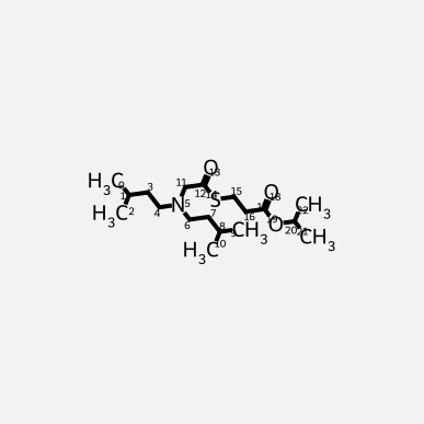 CC(C)CCN(CCC(C)C)CC(=O)SCCC(=O)OC(C)C